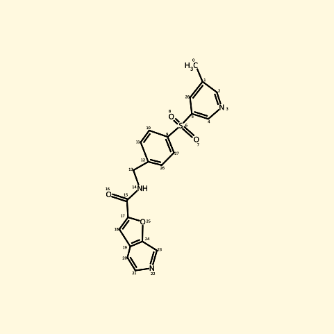 Cc1cncc(S(=O)(=O)c2ccc(CNC(=O)c3cc4ccncc4o3)cc2)c1